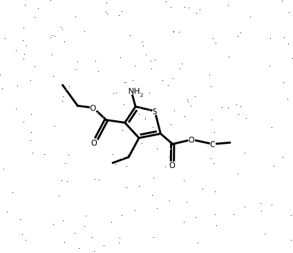 CCOC(=O)c1sc(N)c(C(=O)OCC)c1CC